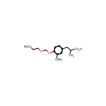 COCCOCOc1ccc(CC(C)C(=O)O)cc1OC